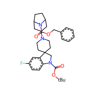 CC(C)(C)OC(=O)N1CC2(CCN(C3CC4CCC(C3)N4C(=O)OCc3ccccc3)CC2)c2cc(F)ccc21